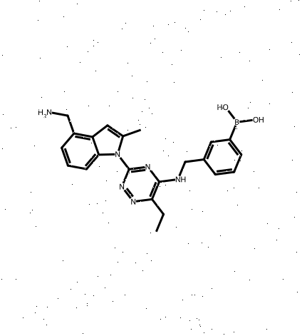 CCc1nnc(-n2c(C)cc3c(CN)cccc32)nc1NCc1cccc(B(O)O)c1